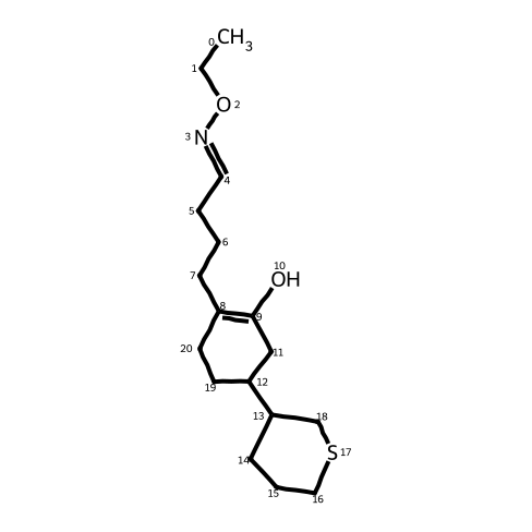 CCON=CCCCC1=C(O)CC(C2CCCSC2)CC1